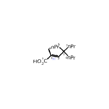 CCCC(/C=C(\C)C(=O)O)(CCC)CCC